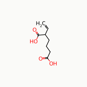 C=CC(CCCC(=O)O)C(=O)O